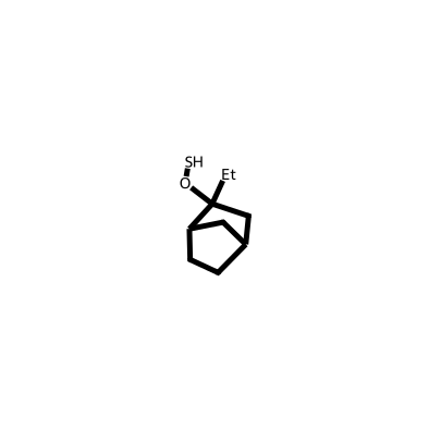 CCC1(OS)CC2CCC1C2